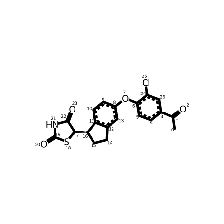 CC(=O)c1ccc(Oc2ccc3c(c2)CC[C@H]3C2SC(=O)NC2=O)c(Cl)c1